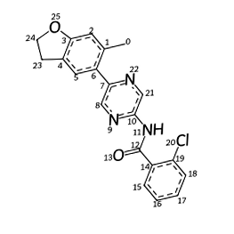 Cc1cc2c(cc1-c1cnc(NC(=O)c3ccccc3Cl)cn1)CCO2